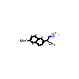 CN=CC(C)c1ccc2cc(OC)ccc2c1